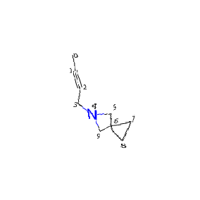 CC#CCN1CC2(CC2)C1